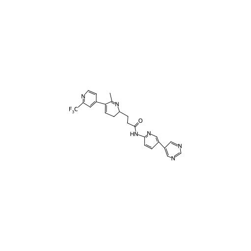 CC1=NC(CCC(=O)Nc2ccc(-c3cncnc3)cn2)CC=C1c1ccnc(C(F)(F)F)c1